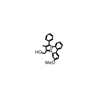 COc1ccc(-c2ccccc2-n2nc(CO)c(C)c2-c2ccccc2)cc1